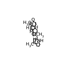 CNC1CCCN1NC(=O)C[C@H]1CC[C@H]2[C@@H]3CC[C@H]4N(C)C(=O)C=C[C@]4(C)[C@H]3CC[C@]12C